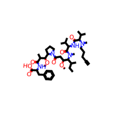 C#CCCCN(C)C(C(=O)NC(C(=O)N(C)C(C(C)CC)C(CC(=O)N1CCCC1C(OC)C(C)C(=O)NC(Cc1ccccc1)C(=O)O)OC)C(C)C)C(C)C